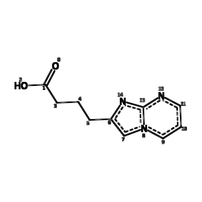 O=C(O)CCCc1cn2cccnc2n1